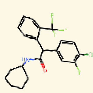 O=C(NC1CCCCC1)C(c1ccc(Cl)c(F)c1)c1cc[c]cc1C(F)(F)F